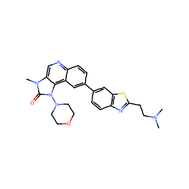 CN(C)CCc1nc2ccc(-c3ccc4ncc5c(c4c3)n(N3CCOCC3)c(=O)n5C)cc2s1